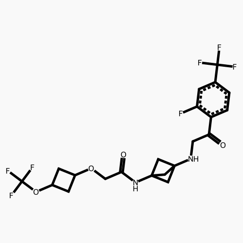 O=C(COC1CC(OC(F)(F)F)C1)NC12CC(NCC(=O)c3ccc(C(F)(F)F)cc3F)(C1)C2